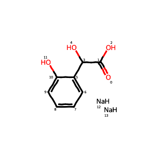 O=C(O)C(O)c1ccccc1O.[NaH].[NaH]